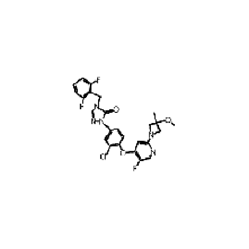 COC1(C)CN(c2cc(Oc3ccc(-n4ncn(Cc5c(F)cccc5F)c4=O)cc3Cl)c(F)cn2)C1